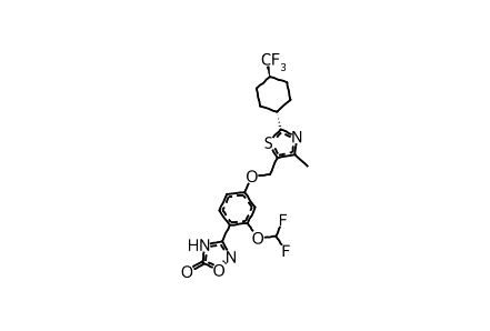 Cc1nc([C@H]2CC[C@H](C(F)(F)F)CC2)sc1COc1ccc(-c2noc(=O)[nH]2)c(OC(F)F)c1